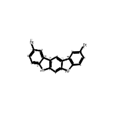 CCc1ccc2oc3cc4oc5ccc(CC)cc5c4cc3c2c1